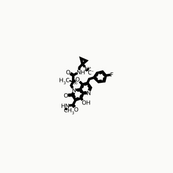 [C-]#[N+]C1(CNC(=O)[C@@]2(C)Cn3c(=O)c(C(=O)NC)c(O)c4ncc(Cc5ccc(F)cc5)c(c43)O2)CC1